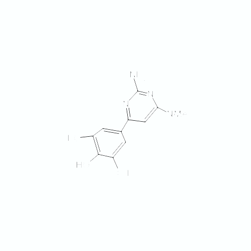 CNc1cc(-c2cc(C)c(O)c(C)c2)nc(N)n1